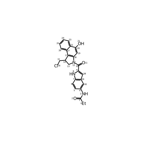 CCC(=O)Nc1ccc2[nH]c(C(=O)N3CC(CCl)c4c3cc(O)c3ccccc43)cc2c1